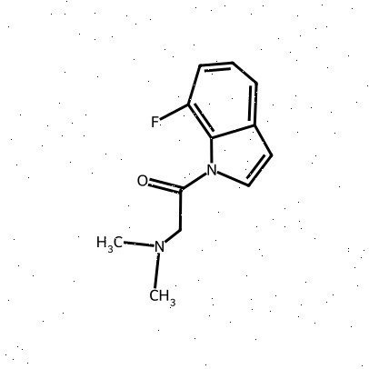 CN(C)CC(=O)n1ccc2cccc(F)c21